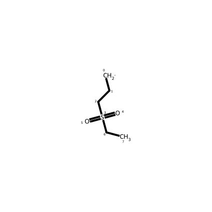 [CH2]CCS(=O)(=O)CC